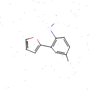 CC(C)Nc1ccc(C(C)(C)C)cc1-c1ccco1